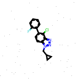 Fc1ccccc1-c1ccc2c(nnn2CC2CC2)c1Cl